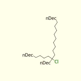 CCCCCCCCCCCCCCCCCCCC(Cl)(CCCCCCCCCC)CCCCCCCCCCCCCC